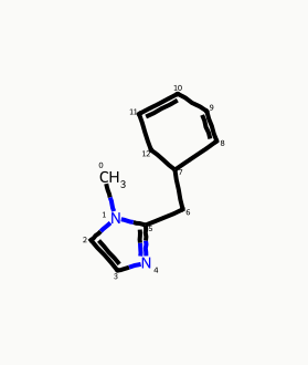 Cn1ccnc1CC1C=CC=CC1